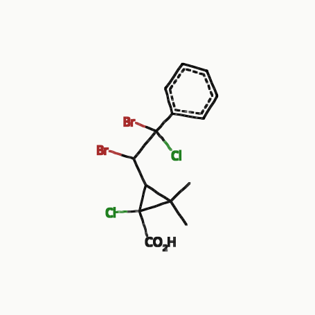 CC1(C)C(C(Br)C(Cl)(Br)c2ccccc2)C1(Cl)C(=O)O